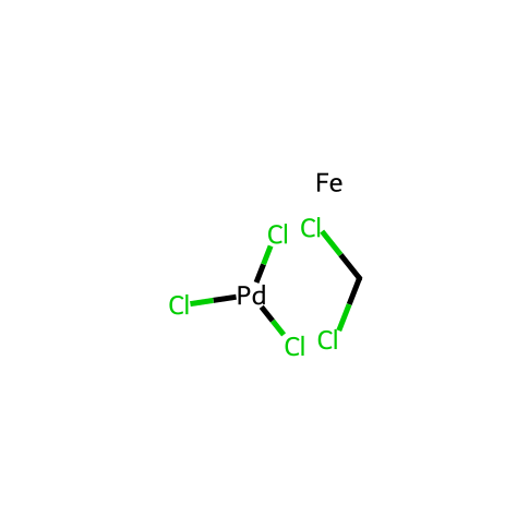 ClCCl.[Cl][Pd]([Cl])[Cl].[Fe]